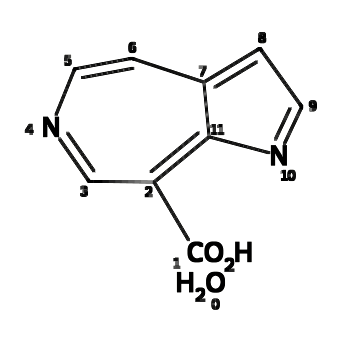 O.O=C(O)c1cnccc2ccnc1-2